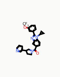 O=C(c1ccc2c(c1)nc(-c1cccc(OC(F)(F)F)c1)n2C1CC1)N1CCC(c2cccnc2)C1